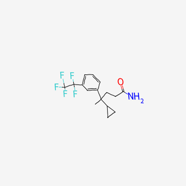 CC(CCC(N)=O)(c1cccc(C(F)(F)C(F)(F)F)c1)C1CC1